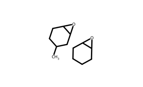 C1CCC2OC2C1.CC1CCC2OC2C1